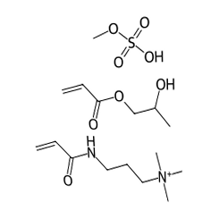 C=CC(=O)NCCC[N+](C)(C)C.C=CC(=O)OCC(C)O.COS(=O)(=O)O